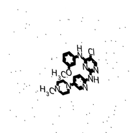 COc1cccc(Nc2nc(Nc3ccc(N4CCN(C)CC4)cn3)ncc2Cl)c1